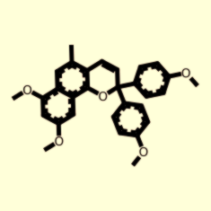 COc1ccc(C2(c3ccc(OC)cc3)C=Cc3c(C)cc4c(OC)cc(OC)cc4c3O2)cc1